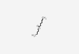 [CH2]C=CCCCC(=O)OCCCCC